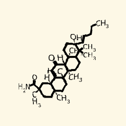 CCCCC[C@]1(O)CC[C@@]2(C)C(CC[C@]3(C)[C@@H]2C(=O)C=C2[C@@H]4C[C@@](C)(C(N)=O)CC[C@]4(C)CC[C@]23C)C1(C)C